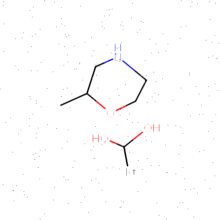 CC1CNCCO1.CCC(O)O